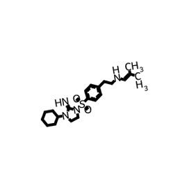 CC(C)=CNCCc1ccc(S(=O)(=O)N2CCN(C3CCCCC3)C2=N)cc1